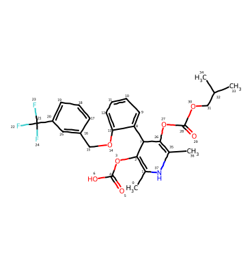 CC1=C(OC(=O)O)C(c2ccccc2OCc2cccc(C(F)(F)F)c2)C(OC(=O)OCC(C)C)=C(C)N1